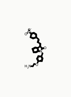 NCCOc1ccc(CN2C(=O)/C(=C/C=C/c3ccc([N+](=O)[O-])cc3)c3ccccc32)cc1